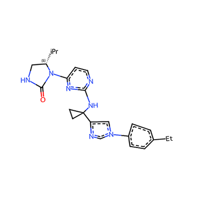 CCc1ccc(-n2cnc(C3(Nc4nccc(N5C(=O)NC[C@@H]5C(C)C)n4)CC3)c2)cc1